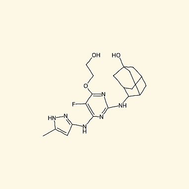 Cc1cc(Nc2nc(NC3C4CC5CC3CC(O)(C5)C4)nc(OCCO)c2F)n[nH]1